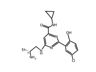 CC[C@@H](N)CNc1cc(C(=O)NC2CC2)nc(-c2cc(Cl)ccc2O)n1